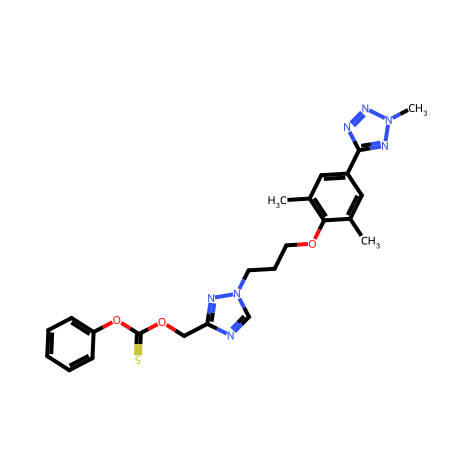 Cc1cc(-c2nnn(C)n2)cc(C)c1OCCCn1cnc(COC(=S)Oc2ccccc2)n1